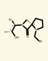 CC(=O)[C@H]([C@@H](C)O)N1C[C@@]2(CCCN2CC(C)C)C1=O